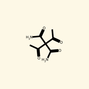 CC(=O)C(C(C)=O)(C(N)=O)C(N)=O